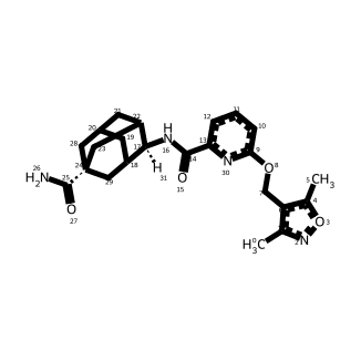 Cc1noc(C)c1COc1cccc(C(=O)N[C@H]2C3CC4CC2C[C@](C(N)=O)(C4)C3)n1